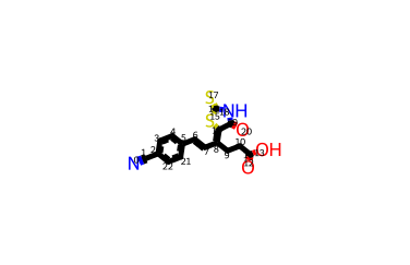 N#Cc1ccc(C=CC(CCC(=O)O)=C2SC(=S)NC2=O)cc1